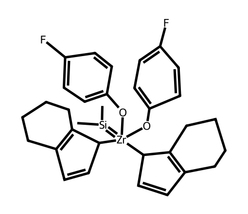 C[Si](C)=[Zr]([O]c1ccc(F)cc1)([O]c1ccc(F)cc1)([CH]1C=CC2=C1CCCC2)[CH]1C=CC2=C1CCCC2